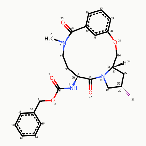 CN1CC[C@H](NC(=O)OCc2ccccc2)C(=O)N2C[C@@H](I)C[C@H]2COc2cccc(c2)C1=O